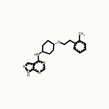 Cc1ccccc1CCO[C@H]1CC[C@H](Nc2ncnc3[nH]ncc23)CC1